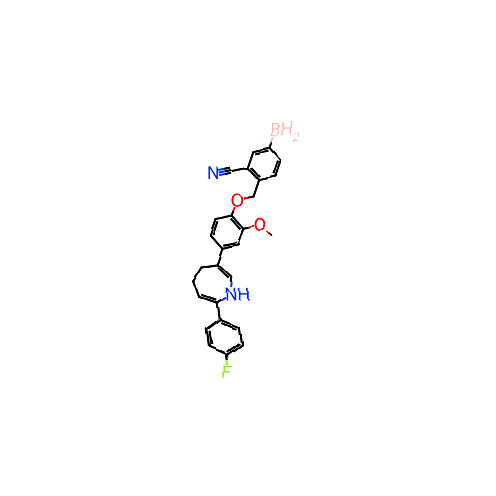 Bc1ccc(COc2ccc(C3=CNC(c4ccc(F)cc4)=CCC3)cc2OC)c(C#N)c1